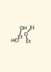 CCO.CCOCC.Cl